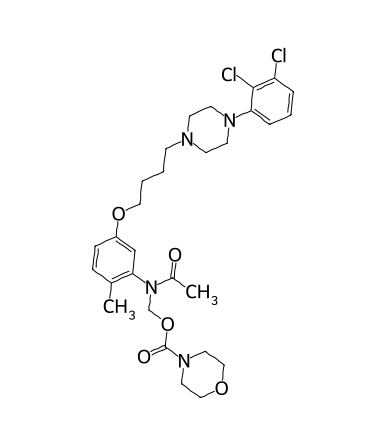 CC(=O)N(COC(=O)N1CCOCC1)c1cc(OCCCCN2CCN(c3cccc(Cl)c3Cl)CC2)ccc1C